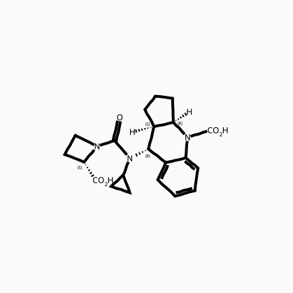 O=C(O)[C@@H]1CCN1C(=O)N(C1CC1)[C@H]1c2ccccc2N(C(=O)O)[C@@H]2CCC[C@@H]21